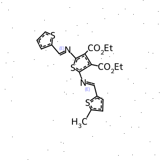 CCOC(=O)c1c(/N=C/c2cccs2)sc(/N=C/c2ccc(C)s2)c1C(=O)OCC